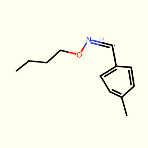 CCCCO/N=[C]\c1ccc(C)cc1